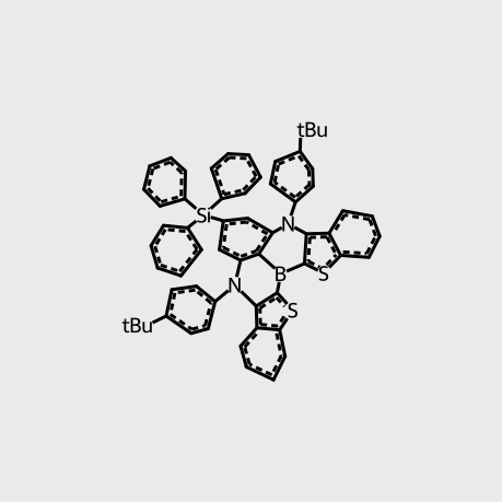 CC(C)(C)c1ccc(N2c3cc([Si](c4ccccc4)(c4ccccc4)c4ccccc4)cc4c3B(c3sc5ccccc5c32)c2sc3ccccc3c2N4c2ccc(C(C)(C)C)cc2)cc1